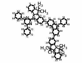 CC1(C)c2ccccc2C2C1c1cc(-c3ccc4c(c3)c3cc(-c5ccc6c(c5)C5C(c7ccccc7C5(C)C)C6(C)C)ccc3n4-c3ccccc3)ccc1N2c1nc(-c2ccccc2)cc(-c2ccccc2)n1